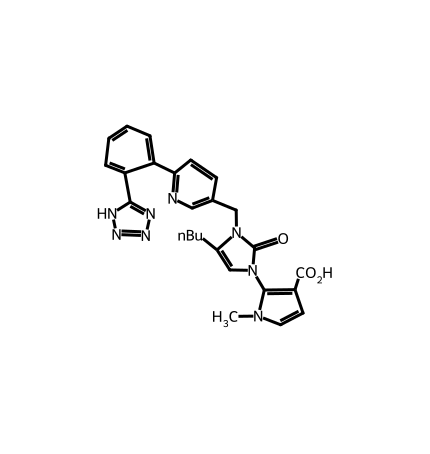 CCCCc1cn(-c2c(C(=O)O)ccn2C)c(=O)n1Cc1ccc(-c2ccccc2-c2nnn[nH]2)nc1